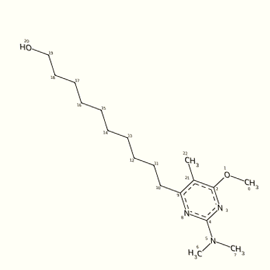 COc1nc(N(C)C)nc(CCCCCCCCCCO)c1C